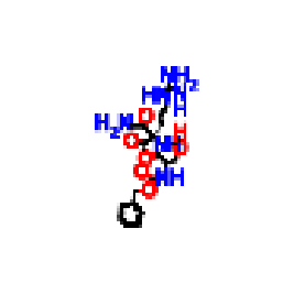 N=C(N)NCCC[C@@]([C]=O)(NC(=O)[C@@H](CO)NC(=O)OCc1ccccc1)C(=O)CN